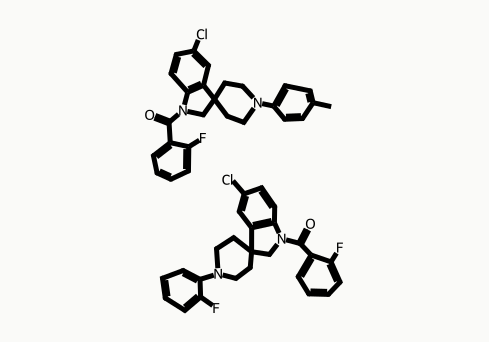 Cc1ccc(N2CCC3(CC2)CN(C(=O)c2ccccc2F)c2ccc(Cl)cc23)cc1.O=C(c1ccccc1F)N1CC2(CCN(c3ccccc3F)CC2)c2cc(Cl)ccc21